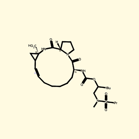 CC(C)S(=O)(=O)N(C)CC(OC(=O)N[C@H]1CCCCC/C=C\C2C[C@@]2(C(=O)O)NC(=O)[C@@H]2CCCN2C1=O)C(C)(C)C